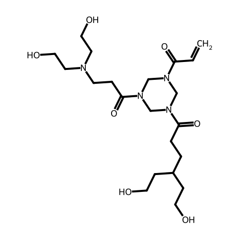 C=CC(=O)N1CN(C(=O)CCC(CCO)CCO)CN(C(=O)CCN(CCO)CCO)C1